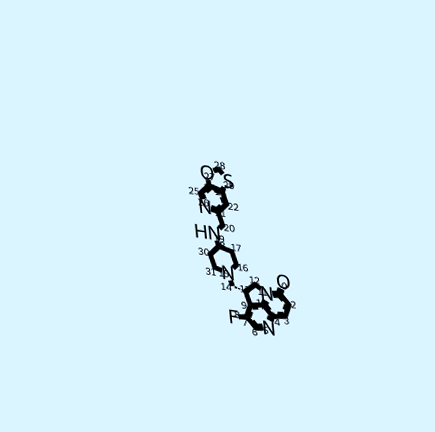 O=c1ccc2ncc(F)c3c2n1C[C@H]3CN1CCC(NCc2cc3c(cn2)OCS3)CC1